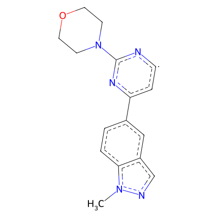 Cn1ncc2cc(-c3c[c]nc(N4CCOCC4)n3)ccc21